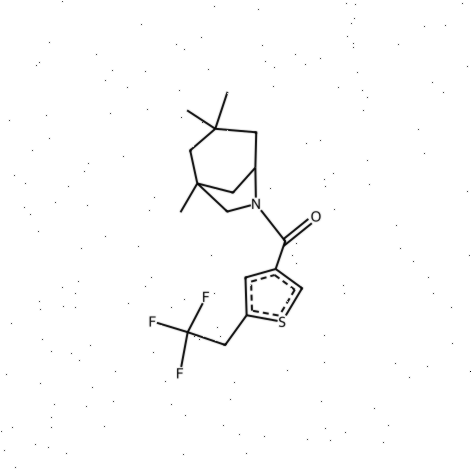 CC1(C)CC2CC(C)(CN2C(=O)c2csc(CC(F)(F)F)c2)C1